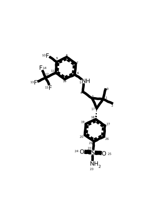 CC1(C)C(CNc2ccc(F)c(C(F)(F)F)c2)[C@H]1c1ccc(S(N)(=O)=O)cc1